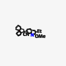 CCc1cc2ccc(C(C#N)(Cc3ccccc3)c3ccccc3)cc2nc1OC